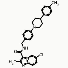 Cc1ccc(C2CCN(c3ccc(CNC(=O)c4c(C)nc5ccc(Cl)cn45)cc3)CC2)cc1